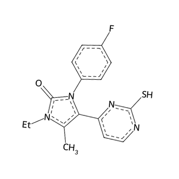 CCn1c(C)c(-c2ccnc(S)n2)n(-c2ccc(F)cc2)c1=O